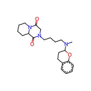 CN(CCCCN1CC(=O)N2CCCCC2C1=O)C1CCc2ccccc2O1